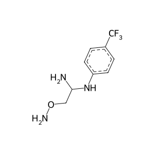 NOCC(N)Nc1ccc(C(F)(F)F)cc1